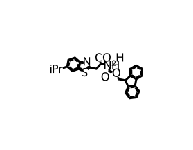 CC(C)c1ccc2nc(CC(NC(=O)OCC3c4ccccc4-c4ccccc43)C(=O)O)sc2c1